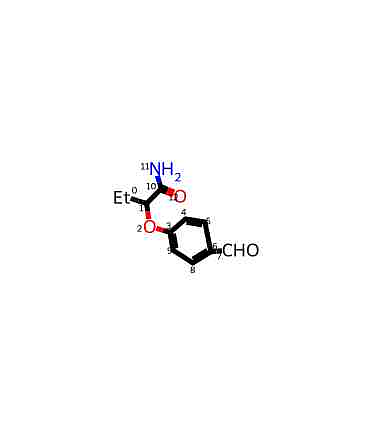 CCC(Oc1ccc(C=O)cc1)C(N)=O